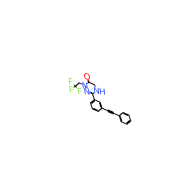 O=C1CNC(c2cccc(C#Cc3ccccc3)c2)=NN1CC(F)(F)F